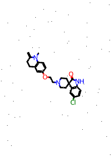 C=C1CCc2cc(OCCN3CCC4(CC3)C(=O)Nc3ccc(Cl)cc34)ccc2N1C